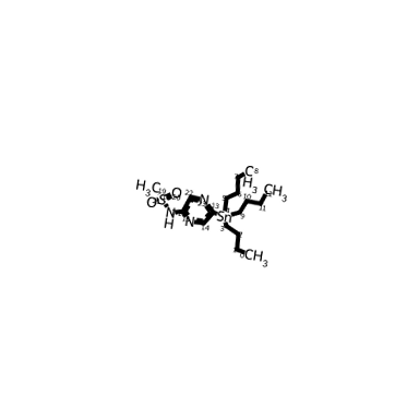 CCC[CH2][Sn]([CH2]CCC)([CH2]CCC)[c]1cnc(NS(C)(=O)=O)cn1